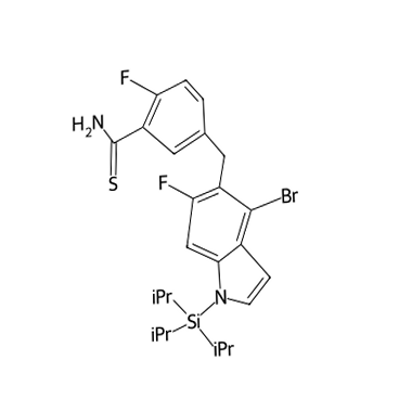 CC(C)[Si](C(C)C)(C(C)C)n1ccc2c(Br)c(Cc3ccc(F)c(C(N)=S)c3)c(F)cc21